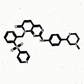 CN1CCSC(c2ccc(Nc3ncc4ccc(=O)n(Cc5ccccc5S(=O)(=O)c5ccncc5)c4n3)cc2)C1